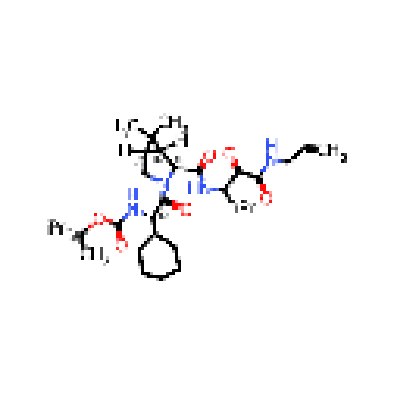 C=CCNC(=O)C(=O)C(CCC)NC(=O)[C@@H]1[C@@H]2[C@H](CN1C(=O)[C@@H](NC(=O)O[C@H](C)C(C)C)C1CCCCC1)C2(C)C